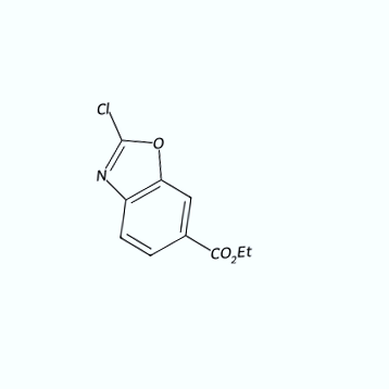 CCOC(=O)c1ccc2nc(Cl)oc2c1